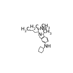 C=CCCC(C(=C)NC)N1Cc2cc(NC3CCCCC3)ccc2C1C